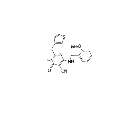 COc1ccccc1CNc1nc(Cc2ccsc2)[nH]c(=O)c1C#N